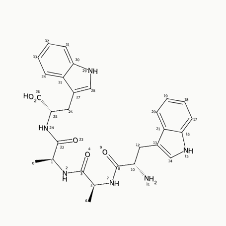 C[C@H](NC(=O)[C@H](C)NC(=O)[C@@H](N)Cc1c[nH]c2ccccc12)C(=O)N[C@@H](Cc1c[nH]c2ccccc12)C(=O)O